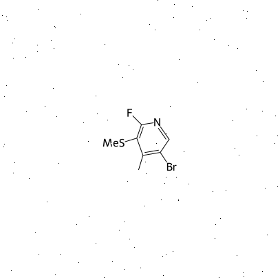 CSc1c(F)ncc(Br)c1C